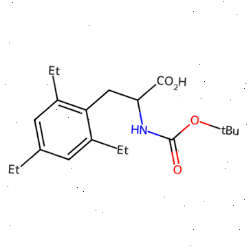 CCc1cc(CC)c(CC(NC(=O)OC(C)(C)C)C(=O)O)c(CC)c1